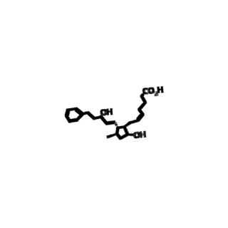 C[C@@H]1C[C@H](O)[C@H](C/C=C\CCCC(=O)O)[C@H]1/C=C/[C@@H](O)CCc1ccccc1